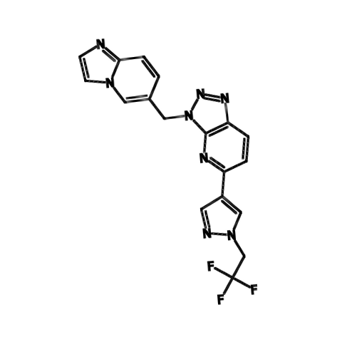 FC(F)(F)Cn1cc(-c2ccc3nnn(Cc4ccc5nccn5c4)c3n2)cn1